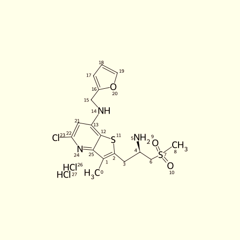 Cc1c(C[C@@H](N)CS(C)(=O)=O)sc2c(NCc3ccco3)cc(Cl)nc12.Cl.Cl